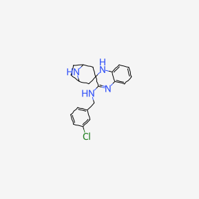 Clc1cccc(CNC2=Nc3ccccc3NC23CC2CCC(C3)N2)c1